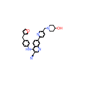 N#Cc1cnc2cc(-c3ccc(CN4CCC(O)CC4)cn3)ccc2c1Nc1ccc(Cc2ccoc2)cc1